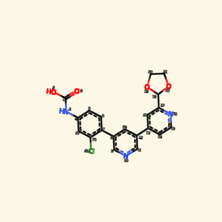 O=C(O)Nc1ccc(-c2cncc(-c3ccnc(C4OCCO4)c3)c2)c(Cl)c1